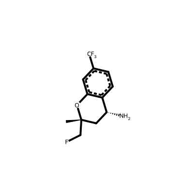 C[C@]1(CF)C[C@@H](N)c2ccc(C(F)(F)F)cc2O1